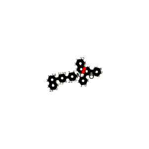 c1ccc(N(c2ccc(-c3ccc(-c4cccc5ccccc45)cc3)cc2)c2ccc3ccccc3c2)c(-c2cccc3c2oc2ccccc23)c1